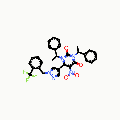 CC(c1ccccc1)n1c(-c2cnn(Cc3ccccc3C(F)(F)F)c2)c([N+](=O)[O-])c(=O)n(C(C)c2ccccc2)c1=O